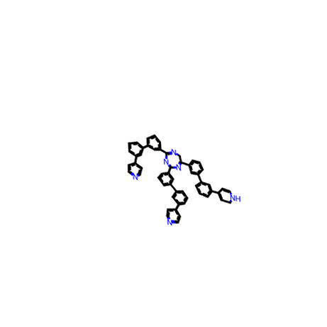 C1=CC(c2cccc(-c3cccc(C4=NC(c5cccc(-c6cccc(-c7ccncc7)c6)c5)=NC(c5cccc(-c6cccc(-c7ccncc7)c6)c5)=NC4)c3)c2)=CCN1